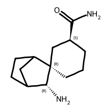 NC(=O)[C@H]1CCC[C@@]2(C1)C1CCC(C1)[C@H]2N